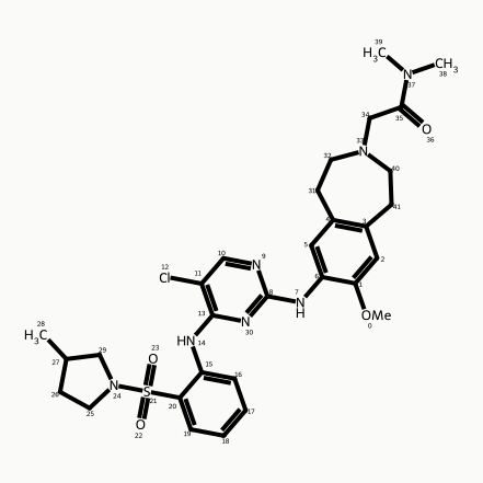 COc1cc2c(cc1Nc1ncc(Cl)c(Nc3ccccc3S(=O)(=O)N3CCC(C)C3)n1)CCN(CC(=O)N(C)C)CC2